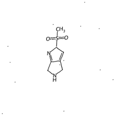 CS(=O)(=O)C1C=C2CNCC2=N1